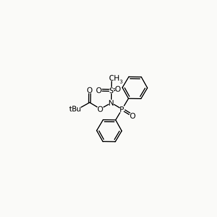 CC(C)(C)C(=O)ON(P(=O)(c1ccccc1)c1ccccc1)S(C)(=O)=O